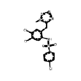 Cn1nnnc1Cc1cc(Cl)c(Cl)cc1NS(=O)(=O)c1ccc(Cl)cc1